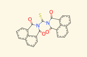 O=C1c2cccc3cccc(c23)C(=O)N1C(=S)N1C(=O)c2cccc3cccc(c23)C1=O